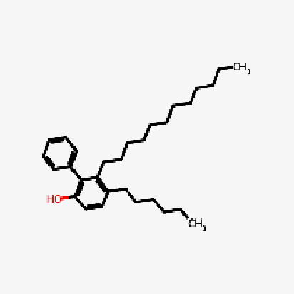 CCCCCCCCCCCCc1c(CCCCCC)ccc(O)c1-c1ccccc1